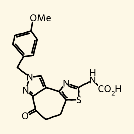 COc1ccc(Cn2cc3c(n2)C(=O)CCc2sc(NC(=O)O)nc2-3)cc1